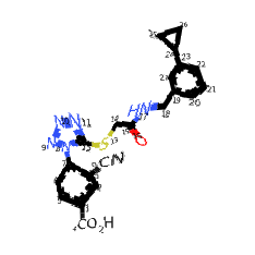 N#Cc1cc(C(=O)O)ccc1-n1nnnc1SCC(=O)NCc1cccc(C2CC2)c1